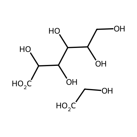 O=C(O)C(O)C(O)C(O)C(O)CO.O=C(O)CO